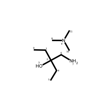 CCC(O)(CC)CN.CN(C)C